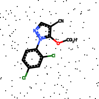 N#Cc1cnn(-c2ccc(Cl)cc2Cl)c1OC(=O)O